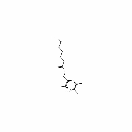 CCCCCCCCCCCCCCCC(=O)OCc1nc(C)c(C)nc1C